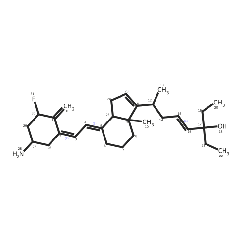 C=C1/C(=C\C=C2/CCCC3(C)C(C(C)C/C=C/C(O)(CC)CC)=CCC23)CC(N)CC1F